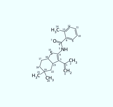 C=C(C)C1=C(NC(=O)c2ccccc2C)SC2CCC(C)(C)CC12